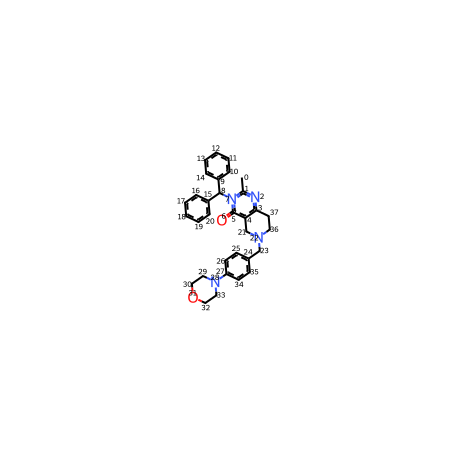 Cc1nc2c(c(=O)n1C(c1ccccc1)c1ccccc1)CN(Cc1ccc(N3CCOCC3)cc1)CC2